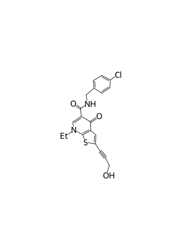 CCn1cc(C(=O)NCc2ccc(Cl)cc2)c(=O)c2cc(C#CCO)sc21